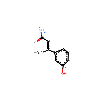 NC(=O)/C=C(\C(=O)O)c1cccc(O)c1